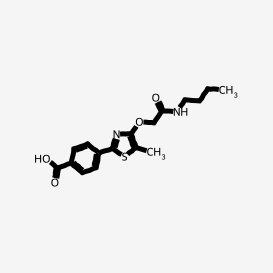 CCCCNC(=O)COc1nc(-c2ccc(C(=O)O)cc2)sc1C